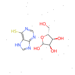 OC[C@H]1OC(O)[C@H](O)[C@@H]1O.Sc1ncnc2nc[nH]c12